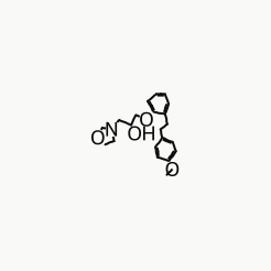 COc1ccc(CCc2ccccc2OC[C@H](O)CN2CCOC2)cc1